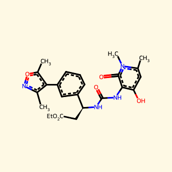 CCOC(=O)C[C@H](NC(=O)Nc1c(O)cc(C)n(C)c1=O)c1cccc(-c2c(C)noc2C)c1